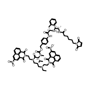 CCN(CCCN(CCN1C(=O)c2cccc3cc([N+](=O)[O-])cc(c23)C1=O)C(=O)[C@@H](C(C)C)N(C)C(=O)OCc1ccc(NC(=O)[C@H](Cc2ccccc2)NC(=O)[C@H](C)NC(=O)CCCCCN2C(=O)C=CC2=O)cc1)CCN1C(=O)c2cccc3cc([N+](=O)[O-])cc(c23)C1=O